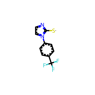 FC(F)(F)c1ccc(-n2ccnc2[S])cc1